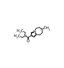 CCN(CC)C(=O)c1cc2n(c1)CCN(C)CC2